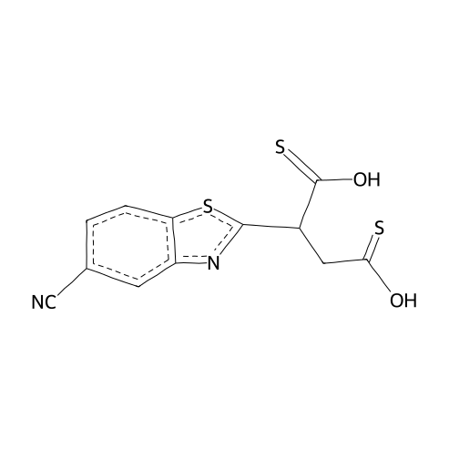 N#Cc1ccc2sc(C(CC(O)=S)C(O)=S)nc2c1